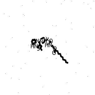 CCCCCCCCCC(=O)OCCNC(=O)OC[N+]1(C)CCN(C2=Nc3ccccc3Nc3sc(C)cc32)CC1